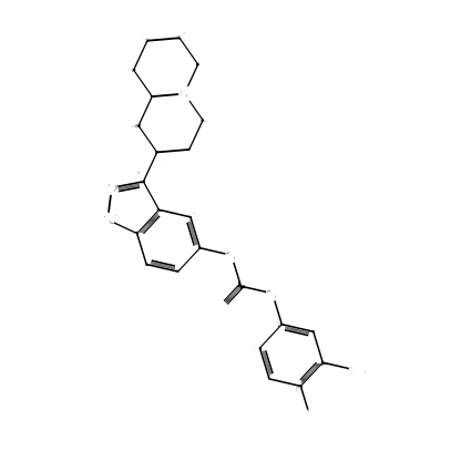 O=C(Nc1ccc(F)c(F)c1)Nc1ccc2[nH]nc(C3CCN4CCCCC4C3)c2c1